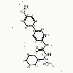 CCOc1ccc(-c2ccc(CC(=O)N[C@H](C)C3CCCCC3)nc2)cc1